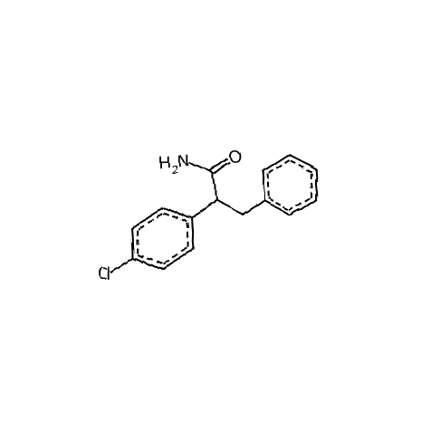 NC(=O)C(Cc1ccccc1)c1ccc(Cl)cc1